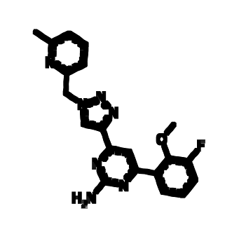 COc1c(F)cccc1-c1cc(-c2cn(Cc3cccc(C)n3)nn2)nc(N)n1